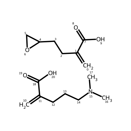 C=C(CCC1CO1)C(=O)O.C=C(CCCN(C)C)C(=O)O